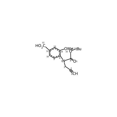 C#CCN(C(=O)OC(C)(C)C)c1ccc(C(=O)O)cc1OC